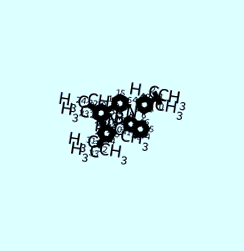 CC(C)(C)c1ccc(N2C3=C(B4c5c(cccc52)-c2cc(C(C)(C)C)cc5c6cc(C(C)(C)C)ccc6n4c25)C(C)(C)c2ccccc23)cc1